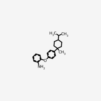 CC(C)C1CCC(C)(c2ccc(Oc3ccccc3N)cc2)CC1